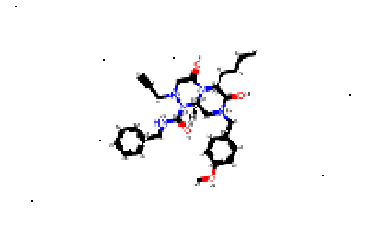 C#CCN1CC(=O)N2[C@@H](CCCC)C(=O)N(Cc3ccc(OC)cc3)C[C@@H]2N1C(=O)NCc1ccccc1